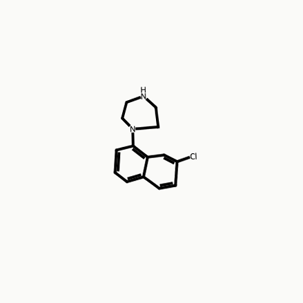 Clc1ccc2cccc(N3CCNCC3)c2c1